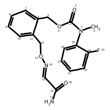 CN(C(=O)OCc1ccccc1CON=CC(N)=O)c1ccccc1F